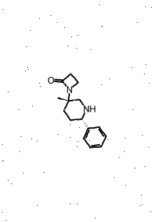 C[C@]1(N2CCC2=O)CC[C@@H](c2ccccc2)NC1